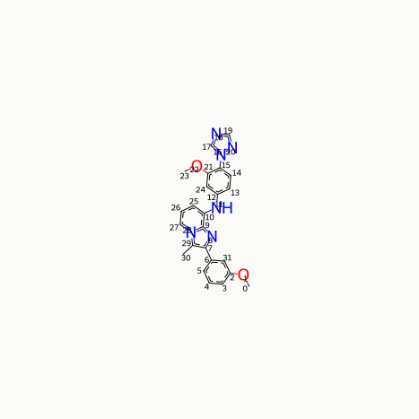 COc1cccc(-c2nc3c(Nc4ccc(-n5cncn5)c(OC)c4)cccn3c2C)c1